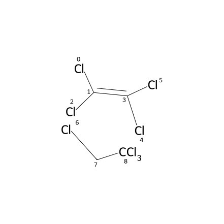 ClC(Cl)=C(Cl)Cl.ClCC(Cl)(Cl)Cl